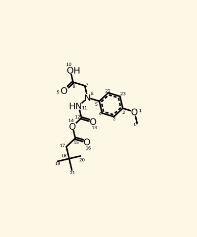 COc1ccc(N(CC(=O)O)NC(=O)OC(=O)CC(C)(C)C)cc1